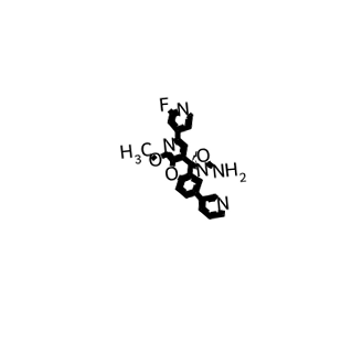 COc1nc(-c2ccnc(F)c2)cc2c1Oc1ccc(-c3cccnc3)cc1[C@@]21COC(N)=N1